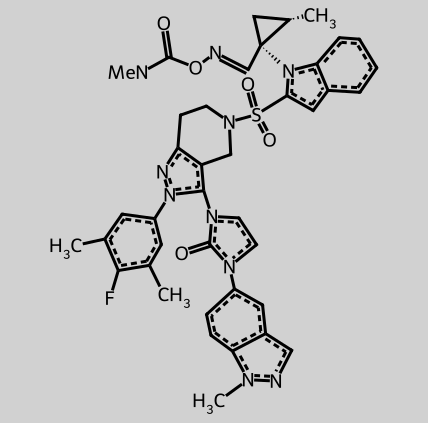 CNC(=O)O/N=C/[C@@]1(n2c(S(=O)(=O)N3CCc4nn(-c5cc(C)c(F)c(C)c5)c(-n5ccn(-c6ccc7c(cnn7C)c6)c5=O)c4C3)cc3ccccc32)C[C@@H]1C